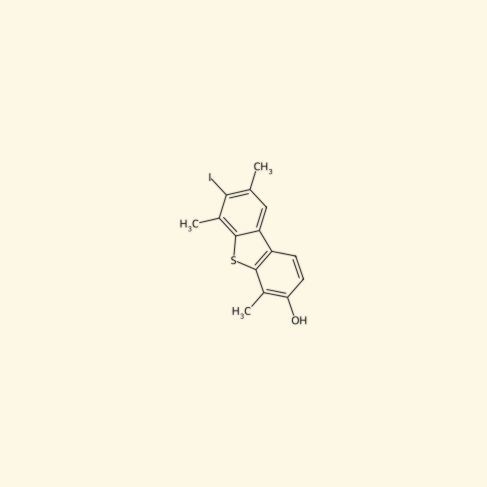 Cc1cc2c(sc3c(C)c(O)ccc32)c(C)c1I